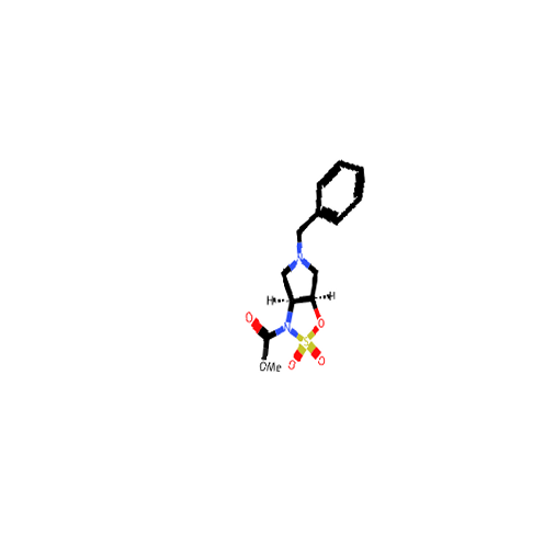 COC(=O)N1[C@H]2CN(Cc3ccccc3)C[C@H]2OS1(=O)=O